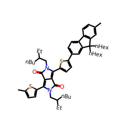 CCCCCCC1(CCCCCC)c2cc(C)ccc2-c2ccc(-c3ccc(C4=C5C(=O)N(CC(CC)CCCC)C(c6ccc(C)s6)=C5C(=O)N4CC(CC)CCCC)s3)cc21